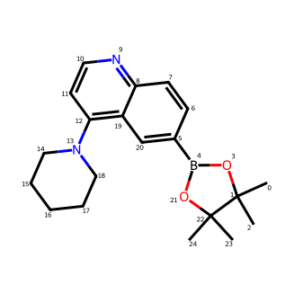 CC1(C)OB(c2ccc3nccc(N4CCCCC4)c3c2)OC1(C)C